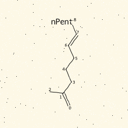 C=C(C)CCCC=CCCCCC